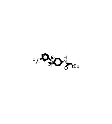 CC(C)(C)CC(=O)NC1CCC(F)(S(=O)(=O)c2cccc(C(F)(F)F)c2)CC1